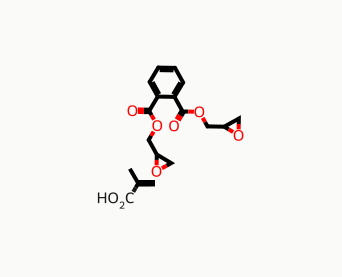 C=C(C)C(=O)O.O=C(OCC1CO1)c1ccccc1C(=O)OCC1CO1